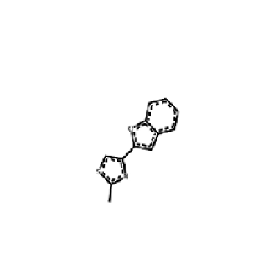 Cc1nc(-c2cc3ccccc3o2)cs1